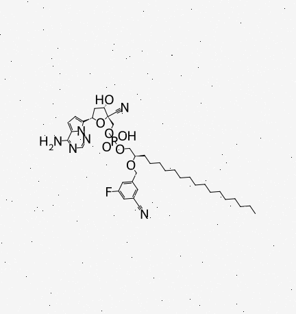 CCCCCCCCCCCCCCCC[C@H](COP(=O)(O)OC[C@@]1(C#N)O[C@@H](c2ccc3c(N)ncnn23)C[C@@H]1O)OCc1cc(F)cc(C#N)c1